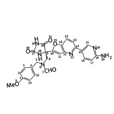 COc1ccc(CN(C=O)C[C@@]2(c3cc4nc(-c5ccc(N)nc5)ccc4o3)NC(=O)NC2=O)cc1